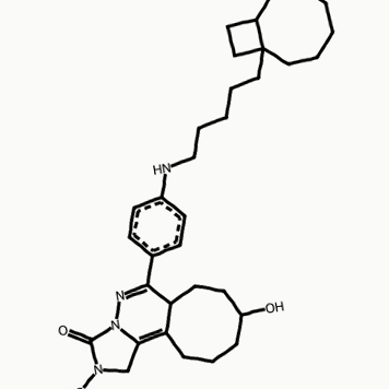 CN1CC2=C3CCCC(O)CCC3C(c3ccc(NCCCCCC45CCCCCCC4CC5)cc3)=NN2C1=O